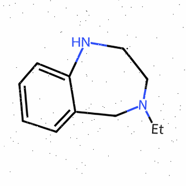 CCN1C[CH]Nc2ccccc2C1